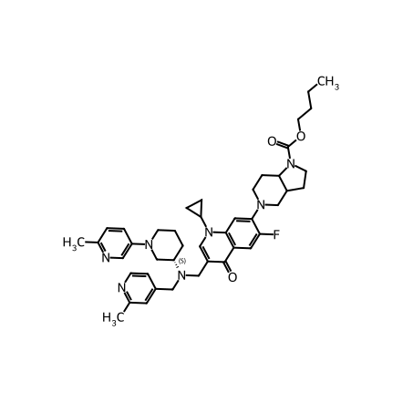 CCCCOC(=O)N1CCC2CN(c3cc4c(cc3F)c(=O)c(CN(Cc3ccnc(C)c3)[C@H]3CCCN(c5ccc(C)nc5)C3)cn4C3CC3)CCC21